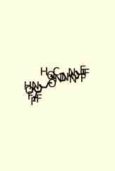 C[C@@H]1CN(c2ncc(C(F)(F)F)cn2)CCN1C(=O)OCCc1c[nH]c(=O)c(C(F)(F)F)c1